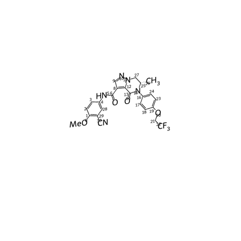 COc1ccc(NC(=O)c2cnn3c2C(=O)N(c2ccc(OCC(F)(F)F)cc2)[C@@H](C)C3)cc1C#N